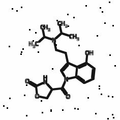 CC(C)N(CCc1cn(C(=O)C2COC(=O)N2)c2cccc(O)c12)C(C)C